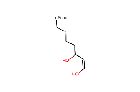 CCCCCCCCCC(O)/C=C\O